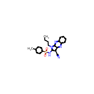 CCCCn1c(NS(=O)(=O)c2ccc(C)cc2)c(C#N)c2nc3ccccc3nc21